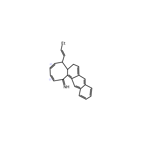 CCC=CC1/C=C\C=C/C(=N)C2=c3cc4ccccc4cc3=CCC21